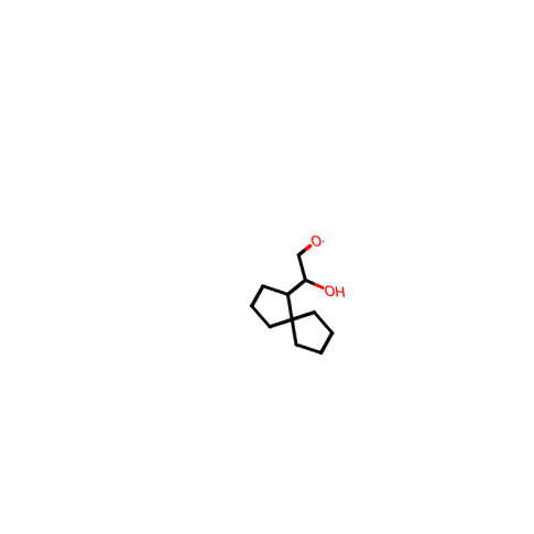 [O]CC(O)C1CCCC12CCCC2